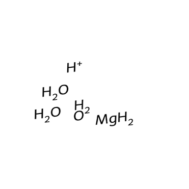 O.O.O.[H+].[MgH2]